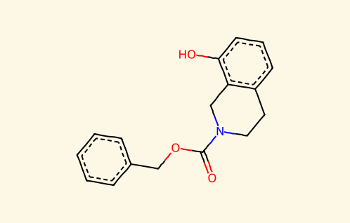 O=C(OCc1ccccc1)N1CCc2cccc(O)c2C1